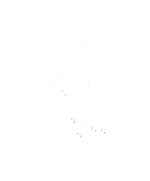 COc1cc(-c2cccc(C3CC3)c2)c(F)cc1-n1c2c(ccc1=O)CN(S(=O)(=O)Nc1cccnn1)CC2